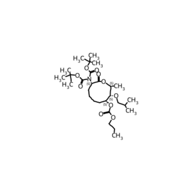 CCCOC(=O)O[C@H]1CCCC[C@H](N(C(=O)OC(C)(C)C)C(=O)OC(C)(C)C)C(=O)O[C@@H](C)[C@@H]1OCC(C)C